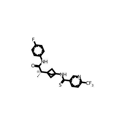 C[C@H](C(=O)Nc1ccc(F)cc1)C12CC(NC(=S)c3ccc(C(F)(F)F)nc3)(C1)C2